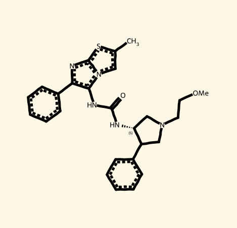 COCCN1CC(c2ccccc2)[C@H](NC(=O)Nc2c(-c3ccccc3)nc3sc(C)cn23)C1